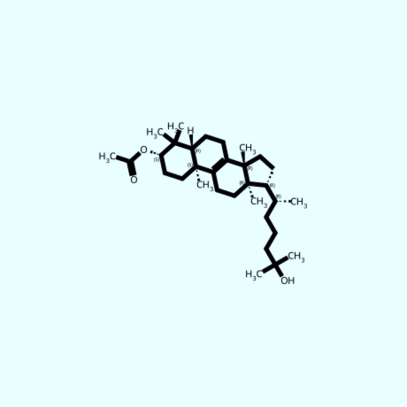 CC(=O)O[C@H]1CC[C@]2(C)C3=C(CC[C@H]2C1(C)C)[C@]1(C)CC[C@H]([C@H](C)CCCC(C)(C)O)[C@@]1(C)CC3